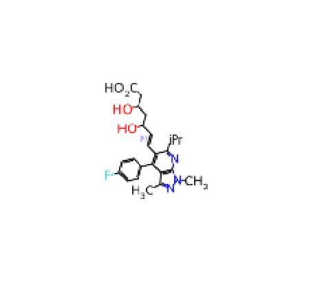 Cc1nn(C)c2nc(C(C)C)c(/C=C/C(O)CC(O)CC(=O)O)c(-c3ccc(F)cc3)c12